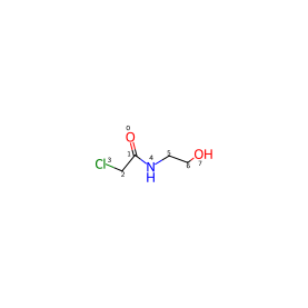 O=C(CCl)NCCO